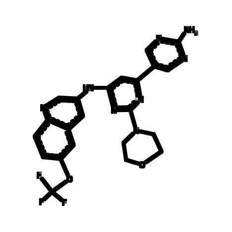 Nc1ncc(-c2cc(Nc3cnc4ccc(OC(F)(F)F)cc4c3)nc(N3CCOCC3)n2)cn1